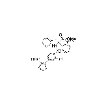 COC(=O)[C@](Cc1ccccc1)(NC(=O)c1ccc(-n2cccc2C=O)cc1Cl)c1ccccc1OC